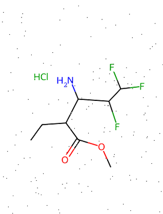 CCC(C(=O)OC)C(N)C(F)C(F)F.Cl